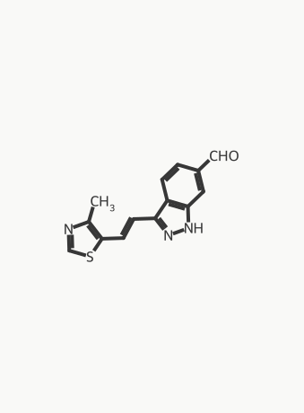 Cc1ncsc1C=Cc1n[nH]c2cc(C=O)ccc12